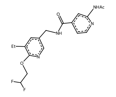 CCc1cc(CNC(=O)c2ccnc(NC(C)=O)c2)cnc1OCC(F)F